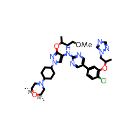 COCCC(C)Oc1nn(C2CCC(N3C[C@@H](C)O[C@@H](C)C3)CC2)cc1Nc1ncc(-c2ccc(Cl)c(OC(C)Cn3cncn3)c2)cn1